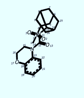 CS(=O)(=O)C12CC3CC(C1)C(NC(=O)N1CCOc4ccccc41)C(C3)C2